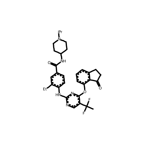 CCc1cc(C(=O)NC2CCN(C(C)C)CC2)ccc1Nc1ncc(C(C)(F)F)c(Oc2cccc3c2C(=O)CC3)n1